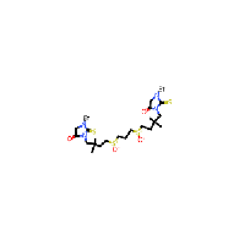 CCN1CC(=O)N(CC(C)(C)CC[S+]([O-])CCC[S+]([O-])CCC(C)(C)CN2C(=O)CN(CC)C2=S)C1=S